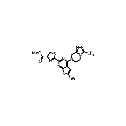 CCCc1cc2c(N3CCn4c(nnc4C(F)(F)F)C3)nc(C3=N[C@H](C(=O)OC)CS3)nc2s1